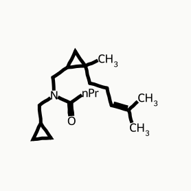 CCCC(=O)N(CC1CC1)CC1CC1(C)CCC=C(C)C